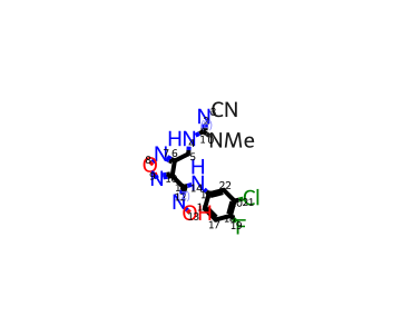 CN/C(=N\C#N)NCc1nonc1/C(=N/O)Nc1ccc(F)c(Cl)c1